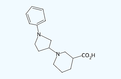 O=C(O)C1CCCN(C2CCN(c3ccccc3)C2)C1